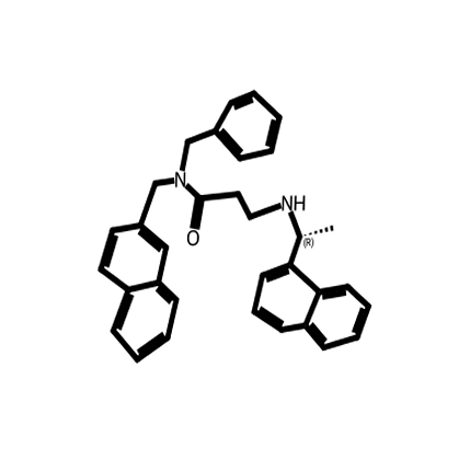 C[C@@H](NCCC(=O)N(Cc1ccccc1)Cc1ccc2ccccc2c1)c1cccc2ccccc12